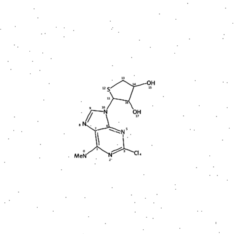 CNc1nc(Cl)nc2c1ncn2C1SCC(O)C1O